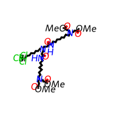 COC(=O)CCN(CCCCCCCCNC(=O)CCN(CCCCCCCC[Si](Cl)(Cl)Cl)CCC(=O)NCCCCCCCCN(CCC(=O)OC)CCC(=O)OC)CCC(=O)OC